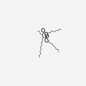 CCCCCCCCCC/C(C(=O)OCCCCCCCC)=C(\CCC)C(=O)OCCCCCCCC